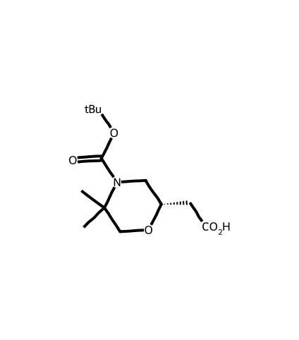 CC(C)(C)OC(=O)N1C[C@H](CC(=O)O)OCC1(C)C